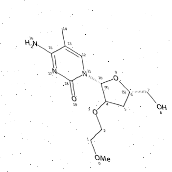 COCCOC1C[C@@H](CO)O[C@H]1n1cc(C)c(N)nc1=O